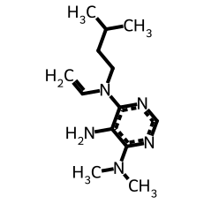 C=CN(CCC(C)C)c1ncnc(N(C)C)c1N